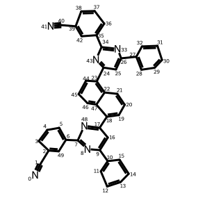 N#Cc1cccc(-c2nc(-c3ccccc3)cc(-c3cccc4c(-c5cc(-c6ccccc6)nc(-c6cccc(C#N)c6)n5)cccc34)n2)c1